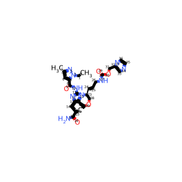 CCn1nc(C)cc1C(=O)Nc1nc2cc(C(N)=O)cc3c2n1[C@@H](/C=C/CNC(=O)OCc1cnccn1)CO3